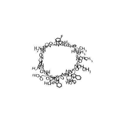 CCCC[C@H]1C(=O)N(C)[C@@H](CCCC)C(=O)N[C@@H](CC(C)C)C(=O)NCCC[C@H](N)C(=O)N[C@@H](Cc2ccc(F)cc2)C(=O)N2CCCC[C@H]2C(=O)N[C@@H](CC(N)=O)C(=O)N2CCC[C@H]2C(=O)N[C@@H](CN)C(=O)N[C@@H](CCC(=O)O)C(=O)N2C[C@H](O)C[C@H]2C(=O)N[C@@H](Cc2c[nH]c3ccccc23)C(=O)N[C@@H](CCN)C(=O)N[C@@H](Cc2cn(CC(=O)O)c3ccccc23)C(=O)N1C